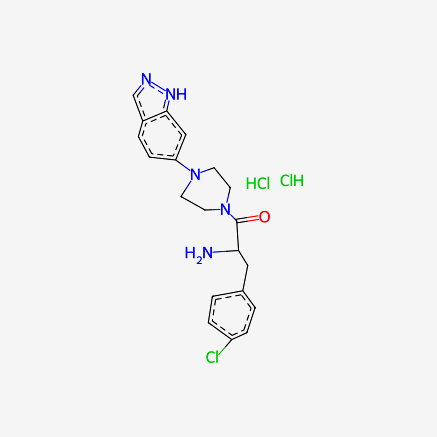 Cl.Cl.NC(Cc1ccc(Cl)cc1)C(=O)N1CCN(c2ccc3cn[nH]c3c2)CC1